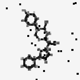 Cc1ccc(N2CCN(C(=O)n3cnc(-c4ccccc4)c3)CC2C)cc1